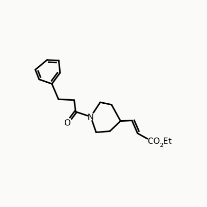 CCOC(=O)C=CC1CCN(C(=O)CCc2ccccc2)CC1